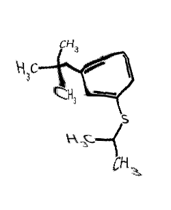 CC(C)Sc1[c]c(C(C)(C)C)ccc1